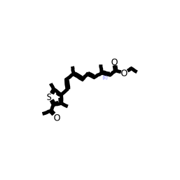 CCOC(=O)/C=C(\C)C=CC=C(C)C=Cc1c(C)sc(C(C)=O)c1C